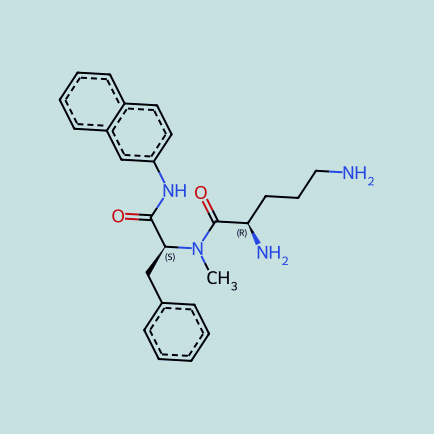 CN(C(=O)[C@H](N)CCCN)[C@@H](Cc1ccccc1)C(=O)Nc1ccc2ccccc2c1